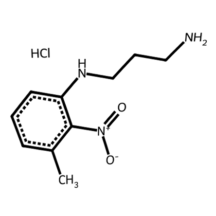 Cc1cccc(NCCCN)c1[N+](=O)[O-].Cl